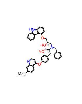 COc1ccc2c(Oc3ccc(C[C@@H](CO)N(Cc4ccccc4)C[C@H](O)COc4cccc5[nH]c6ccccc6c45)cc3)ccnc2c1